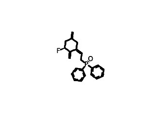 C=C1C/C(=C/CP(=O)(c2ccccc2)c2ccccc2)C(=C)[C@@H](F)C1